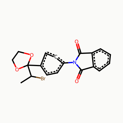 CC(Br)C1(c2ccc(N3C(=O)c4ccccc4C3=O)cc2)OCCO1